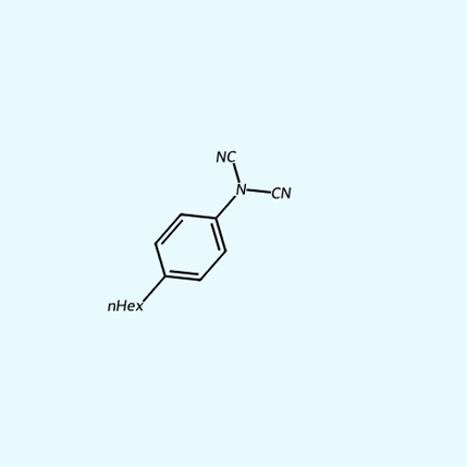 CCCCCCc1ccc(N(C#N)C#N)cc1